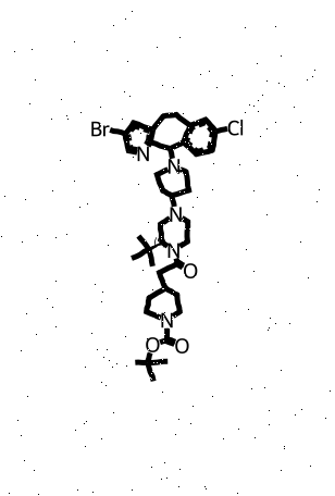 CC(C)(C)OC(=O)N1CCC(CC(=O)N2CCN(C3CCN(C4c5ccc(Cl)cc5CCc5cc(Br)cnc54)CC3)C[C@@H]2C(C)(C)C)CC1